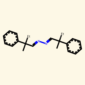 CCC(C)(/C=N/N=C/C(C)(CC)c1ccccc1)c1ccccc1